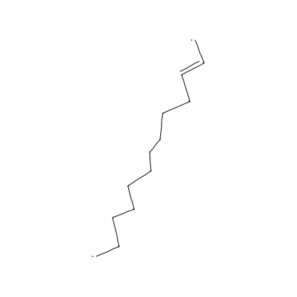 [CH2]/C=C/CCCCCCCCC[CH2]